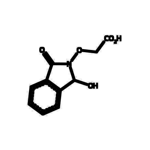 O=C(O)CON1C(=O)c2ccccc2C1O